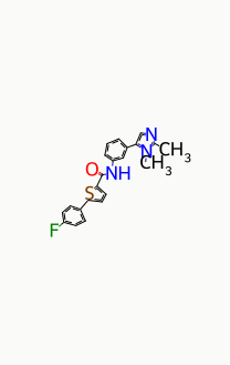 Cc1ncc(-c2cccc(NC(=O)c3ccc(-c4ccc(F)cc4)s3)c2)n1C